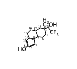 C[C@]1(C(O)C(F)(F)F)CCC2c3ccc(O)cc3CCC2C1